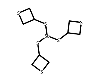 C1SCC1[S][Sb]([S]C1CSC1)[S]C1CSC1